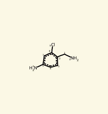 NCc1ccc(N)cc1Cl